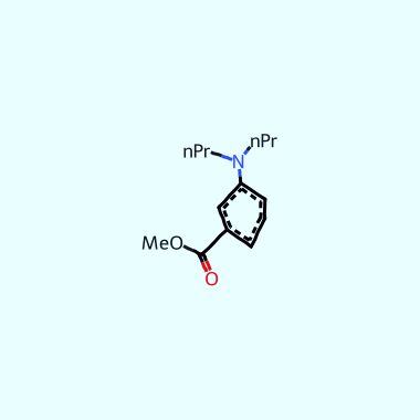 CCCN(CCC)c1cccc(C(=O)OC)c1